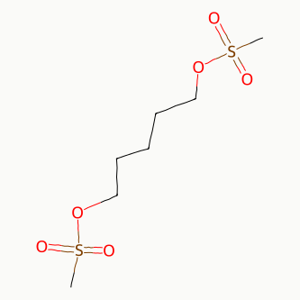 CS(=O)(=O)OCCCCCOS(C)(=O)=O